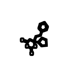 O=C1CC(CCc2ccccc2)(C2CCCC2)OC(=O)O1